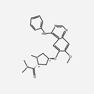 COc1cc2ncnc(Nc3ccccc3)c2cc1O[C@H]1C[C@H](C(=O)N(C)C)N(C)C1